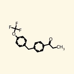 CCC(=O)c1ccc(Cc2ccc(OC(F)(F)F)cc2)cc1